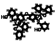 O=P1(CN(Cc2ccccc2O)c2ccc(Oc3ccc(N(Cc4ccccc4O)CP4(=O)Oc5ccccc5-c5ccccc54)cc3)cc2)Oc2ccccc2-c2ccccc21